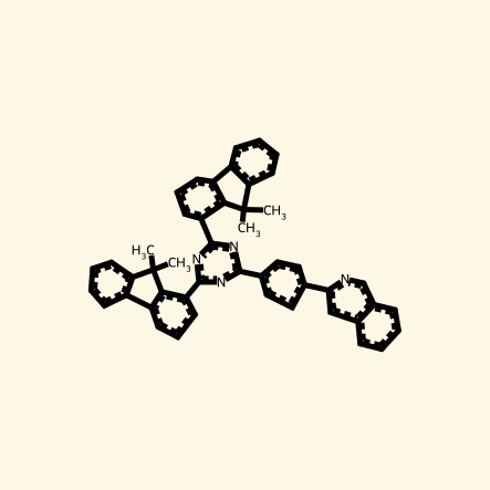 CC1(C)c2ccccc2-c2cccc(-c3nc(-c4ccc(-c5cc6ccccc6cn5)cc4)nc(-c4cccc5c4C(C)(C)c4ccccc4-5)n3)c21